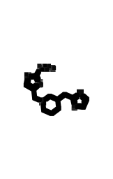 CNc1ncc(CN2CCCC(Cc3nccs3)C2)s1